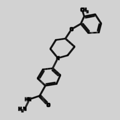 Cc1ccccc1OC1CCN(c2ccc(C(=O)NN)cc2)CC1